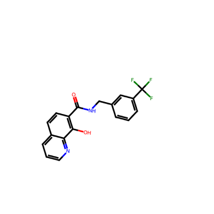 O=C(NCc1cccc(C(F)(F)F)c1)c1ccc2cccnc2c1O